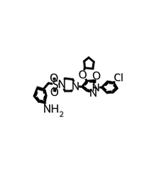 Nc1cccc(CS(=O)(=O)N2CCN(c3cnn(-c4cccc(Cl)c4)c(=O)c3OC3CCCC3)CC2)c1